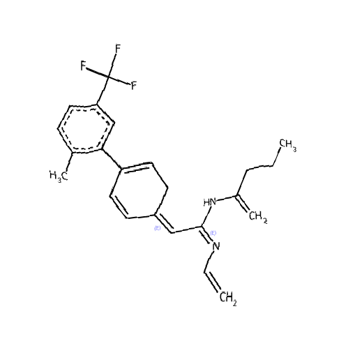 C=C/N=C(\C=C1\C=CC(c2cc(C(F)(F)F)ccc2C)=CC1)NC(=C)CCC